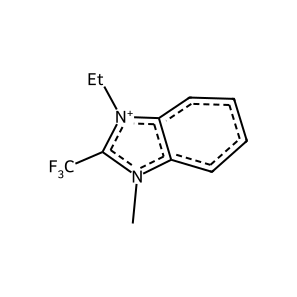 CC[n+]1c(C(F)(F)F)n(C)c2ccccc21